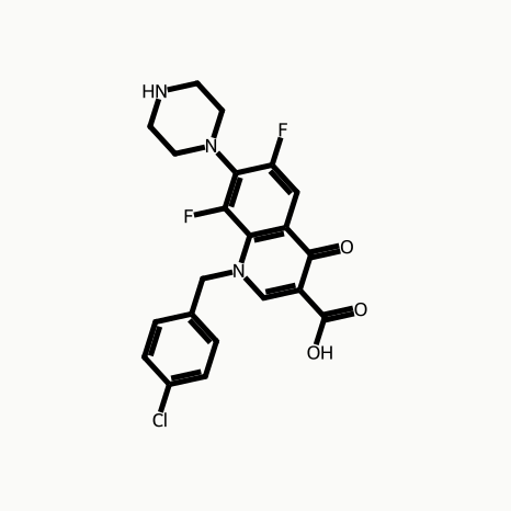 O=C(O)c1cn(Cc2ccc(Cl)cc2)c2c(F)c(N3CCNCC3)c(F)cc2c1=O